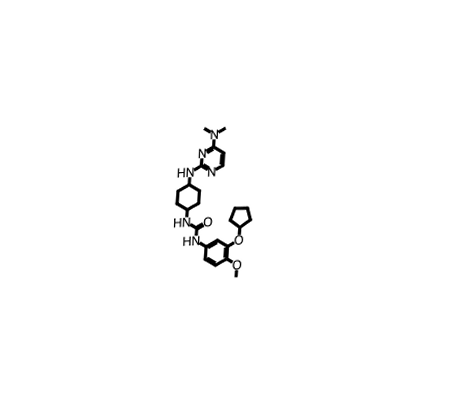 COc1ccc(NC(=O)NC2CCC(Nc3nccc(N(C)C)n3)CC2)cc1OC1CCCC1